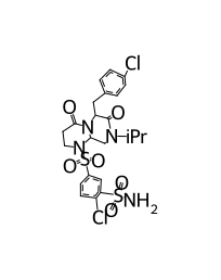 CC(C)N1CC2N(C(=O)CCN2S(=O)(=O)c2ccc(Cl)c(S(N)(=O)=O)c2)C(Cc2ccc(Cl)cc2)C1=O